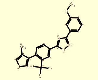 COc1cccc(-c2noc(-c3ccc(-c4cscc4C)c(C(F)(F)F)c3)n2)c1